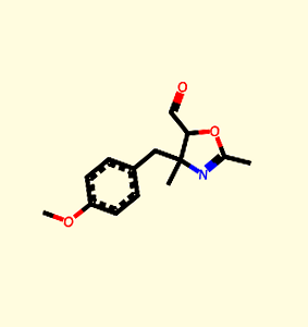 COc1ccc(CC2(C)N=C(C)OC2C=O)cc1